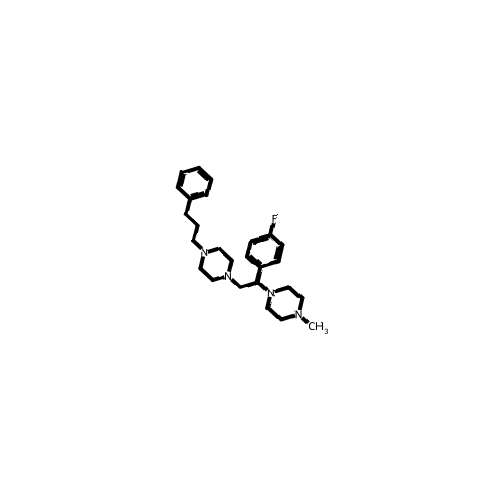 CN1CCN(C(CN2CCN(CCCc3ccccc3)CC2)c2ccc(F)cc2)CC1